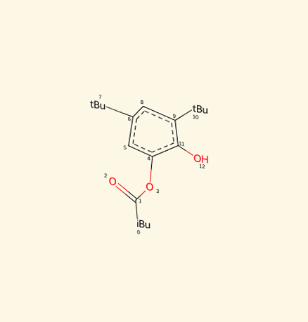 CCC(C)C(=O)Oc1cc(C(C)(C)C)cc(C(C)(C)C)c1O